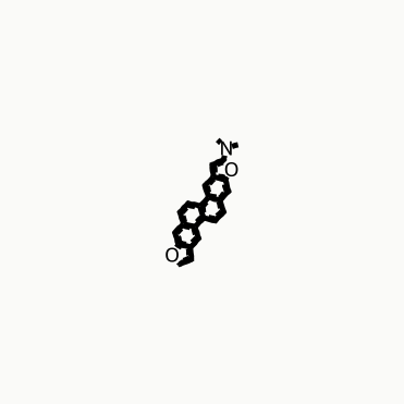 CN(C)c1cc2cc3c(ccc4c5cc6ccoc6cc5ccc34)cc2o1